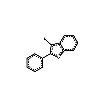 Ic1c(-c2ccccc2)oc2ccccc12